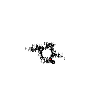 CC(=O)N[C@@H](CCCNC(=N)N)C(=O)N[C@H]1CCC(=O)NC(=O)CC[C@@H](C(N)=O)NC(=O)[C@H](Cc2c[nH]c3ccccc23)NC(=O)[C@H](CCCNC(=N)N)NC(=O)[C@@H](Cc2ccccc2C(F)(F)F)NC(=O)[C@H](CCC(N)=O)NC1=O